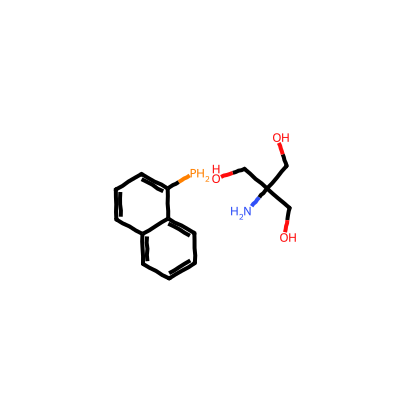 NC(CO)(CO)CO.Pc1cccc2ccccc12